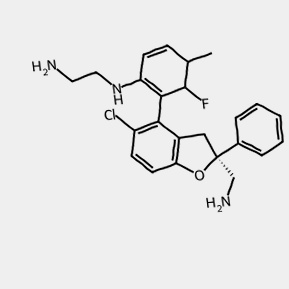 CC1C=CC(NCCN)=C(c2c(Cl)ccc3c2C[C@@](CN)(c2ccccc2)O3)C1F